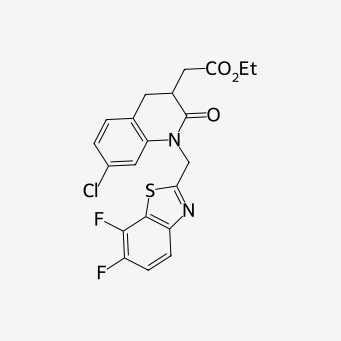 CCOC(=O)CC1Cc2ccc(Cl)cc2N(Cc2nc3ccc(F)c(F)c3s2)C1=O